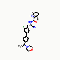 C=C(c1ccc(-c2ccc(C[C@@H](C#N)NC(=O)[C@H]3N[C@@H]4CC[C@H]3C4)c(F)c2)cc1)N1CCOCC1